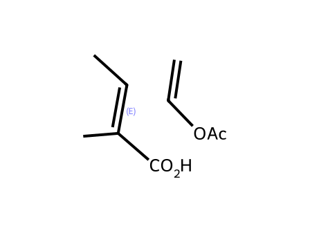 C/C=C(\C)C(=O)O.C=COC(C)=O